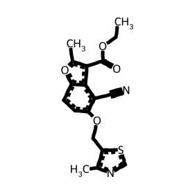 CCOC(=O)c1c(C)oc2ccc(OCc3scnc3C)c(C#N)c12